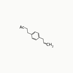 C=CCc1ccc(CCC(C)=O)cc1